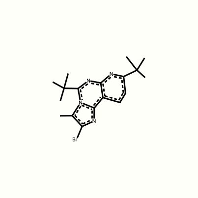 Cc1c(Br)nc2c3ccc(C(C)(C)C)nc3nc(C(C)(C)C)n12